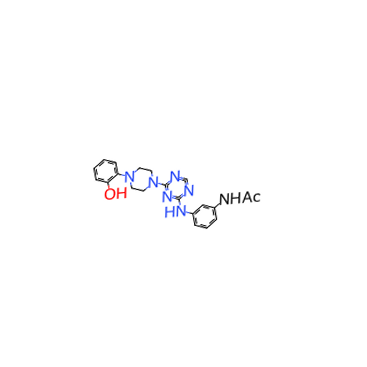 CC(=O)Nc1cccc(Nc2ncnc(N3CCN(c4ccccc4O)CC3)n2)c1